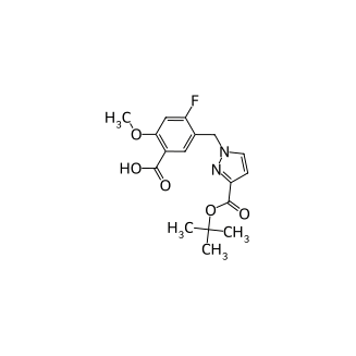 COc1cc(F)c(Cn2ccc(C(=O)OC(C)(C)C)n2)cc1C(=O)O